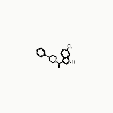 C=C(c1c[nH]c2cc(Cl)ccc12)N1CCC(c2ccccc2)CC1